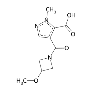 COC1CN(C(=O)c2cnn(C)c2C(=O)O)C1